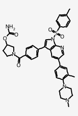 Cc1ccc(S(=O)(=O)n2cc(-c3ccc(C(=O)N4CCC(OC(N)=O)C4)cc3)c3cc(-c4ccc(N5CCN(C)CC5)c(C)c4)cnc32)cc1